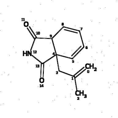 C=C(C)CC12C=CC=CC1C(=O)NC2=O